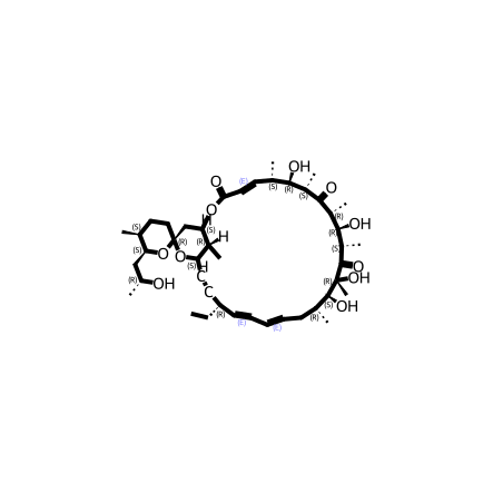 CC[C@H]1/C=C/C=C/C[C@@H](C)[C@H](O)[C@@](C)(O)C(=O)[C@@H](C)[C@H](O)[C@@H](C)C(=O)[C@@H](C)[C@H](O)[C@@H](C)/C=C/C(=O)O[C@H]2C[C@@]3(CC[C@H](C)[C@H](C[C@@H](C)O)O3)O[C@@H](CC1)[C@H]2C